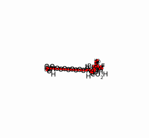 CC(C)(C)[C@H](c1nc(-c2cc(F)ccc2F)cn1Cc1ccccc1)N(CC1CN(C(=O)O)CC1CNC(=O)CCOCCOCCOCCOCCOCCOCCOCCOCCNC(=O)CCN1C(=O)C=CC1=O)C(=O)CO